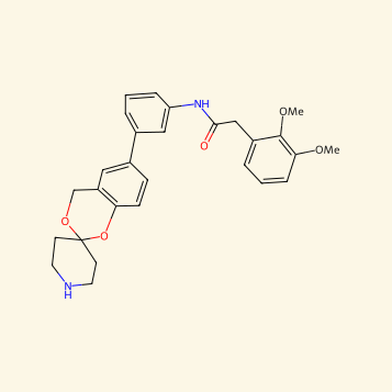 COc1cccc(CC(=O)Nc2cccc(-c3ccc4c(c3)COC3(CCNCC3)O4)c2)c1OC